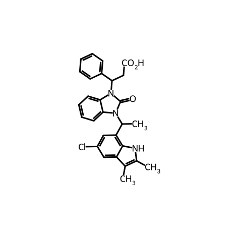 Cc1[nH]c2c(C(C)n3c(=O)n(C(CC(=O)O)c4ccccc4)c4ccccc43)cc(Cl)cc2c1C